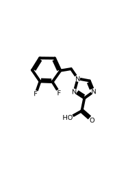 O=C(O)c1ncn(Cc2cccc(F)c2F)n1